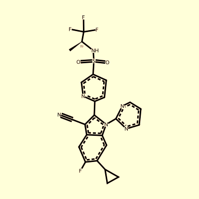 C[C@H](NS(=O)(=O)c1ccc(-c2c(C#N)c3cc(F)c(C4CC4)cc3n2-c2ncccn2)nc1)C(F)(F)F